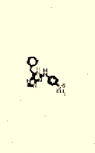 C[S+]([O-])c1ccc(Nc2nc3ncnc-3c(CC3CCCCC3)[nH]2)cc1